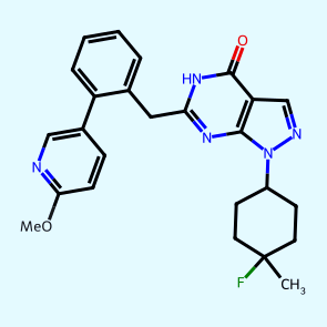 COc1ccc(-c2ccccc2Cc2nc3c(cnn3C3CCC(C)(F)CC3)c(=O)[nH]2)cn1